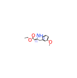 CCOC(=O)/C=C(\N)Cc1cccc(OC)c1